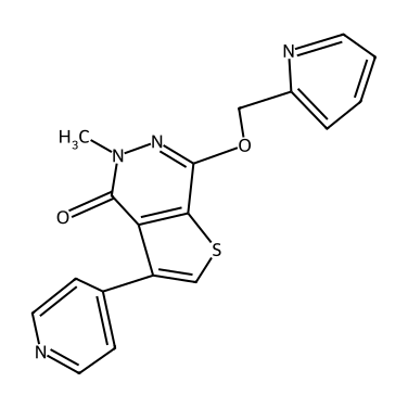 Cn1nc(OCc2ccccn2)c2scc(-c3ccncc3)c2c1=O